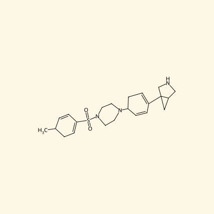 CC1C=CC(S(=O)(=O)N2CCN(C3C=CC(C45CNCC4C5)=CC3)CC2)=CC1